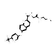 COCCNC(=O)CN(C)C(=O)c1ccc2cc(Oc3ccc(C(F)(F)F)nc3)ccc2n1